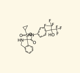 O=C(Nc1ccc(C(O)(C(F)(F)F)C(F)(F)F)cc1)C1(S(=O)(=O)C2CC2)NCc2ccccc21